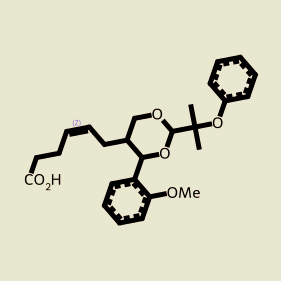 COc1ccccc1C1OC(C(C)(C)Oc2ccccc2)OCC1C/C=C\CCC(=O)O